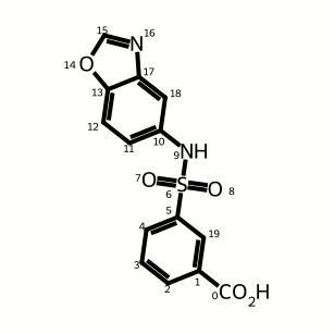 O=C(O)c1cccc(S(=O)(=O)Nc2ccc3ocnc3c2)c1